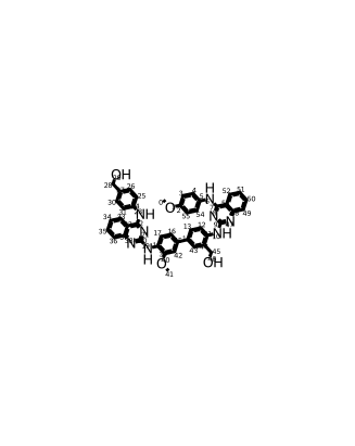 COc1ccc(Nc2nc(Nc3ccc(-c4ccc(Nc5nc(Nc6ccc(CO)cc6)c6ccccc6n5)c(OC)c4)cc3CO)nc3ccccc23)cc1